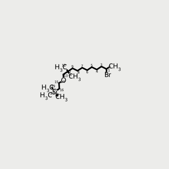 CC(Br)CCCCCCCC(C)(C)COCC[Si](C)(C)C